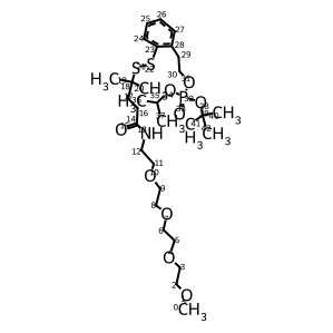 COCCOCCOCCOCCNC(=O)CCC(C)(C)SSc1ccccc1CCOP(=O)(OC(C)C)OC(C)(C)C